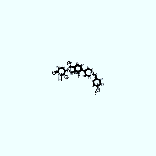 COC1CCC(CN2CCC(c3ccc4c(c3F)CN(C3CCC(=O)NC3=O)C4=O)CC2)CC1